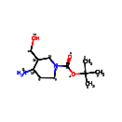 CC(C)(C)OC(=O)N1CCC(N)C(CO)C1